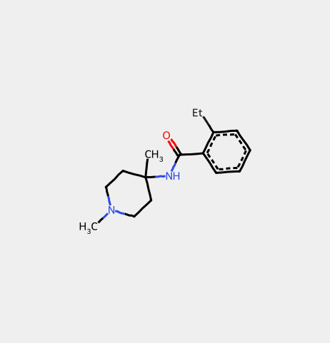 CCc1ccccc1C(=O)NC1(C)CCN(C)CC1